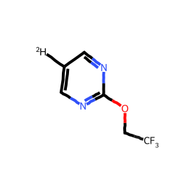 [2H]c1cnc(OCC(F)(F)F)nc1